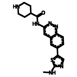 CNc1ncc(-c2ccc3nnc(NC(=O)C4CCNCC4)cc3c2)s1